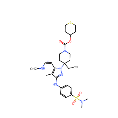 Cc1c(Nc2ccc(S(=O)(=O)N(C)C)cc2)nn(C2(CC#N)CCN(C(=O)OC3CCSCC3)CC2)c1/C=C\NC=O